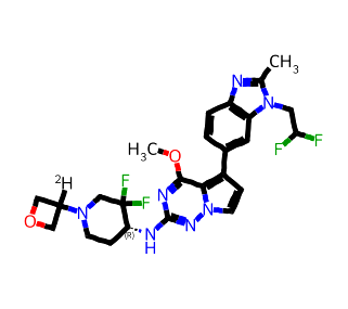 [2H]C1(N2CC[C@@H](Nc3nc(OC)c4c(-c5ccc6nc(C)n(CC(F)F)c6c5)ccn4n3)C(F)(F)C2)COC1